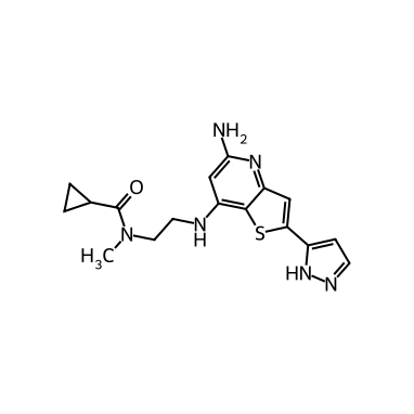 CN(CCNc1cc(N)nc2cc(-c3ccn[nH]3)sc12)C(=O)C1CC1